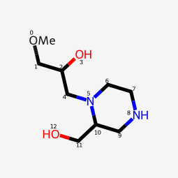 COCC(O)CN1CCNCC1CO